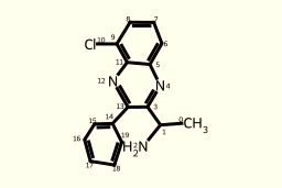 CC(N)c1nc2cccc(Cl)c2nc1-c1ccccc1